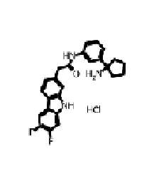 Cl.NC1(c2cccc(NC(=O)Cc3ccc4c(c3)[nH]c3cc(F)c(F)cc34)c2)CCCC1